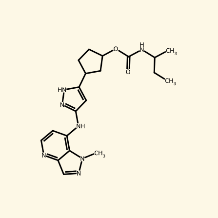 CCC(C)NC(=O)OC1CCC(c2cc(Nc3ccnc4cnn(C)c34)n[nH]2)C1